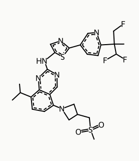 CC(C)c1ccc(N2CC(CS(C)(=O)=O)C2)c2cnc(Nc3cnc(-c4ccc(C(C)(CF)C(F)F)nc4)s3)nc12